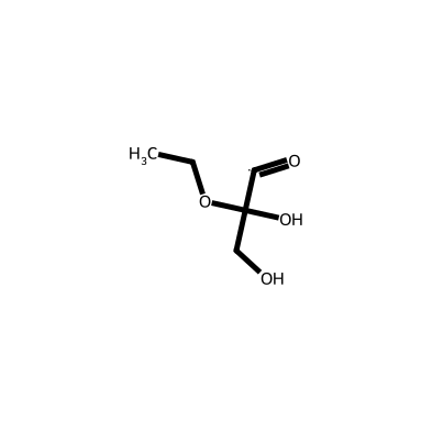 CCOC(O)([C]=O)CO